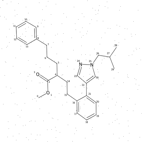 COC(=O)C(CCCc1ccccc1)CCc1ccccc1-c1cnn(CC(C)C)c1